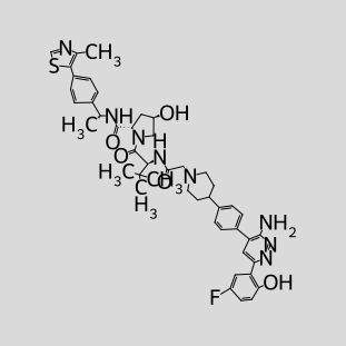 Cc1ncsc1-c1ccc([C@H](C)NC(=O)[C@@H]2C[C@@H](O)CN2C(=O)[C@@H](NC(=O)CN2CCC(c3ccc(-c4cc(-c5cc(F)ccc5O)nnc4N)cc3)CC2)C(C)(C)C)cc1